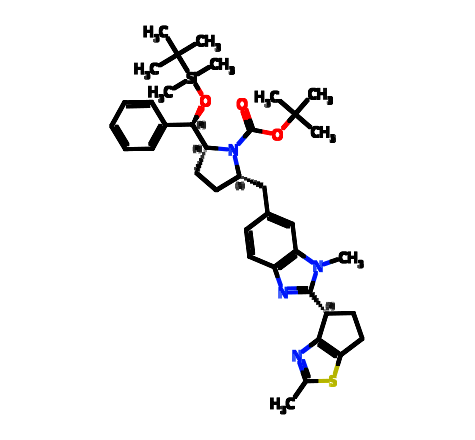 Cc1nc2c(s1)CC[C@H]2c1nc2ccc(C[C@@H]3CC[C@H]([C@H](O[Si](C)(C)C(C)(C)C)c4ccccc4)N3C(=O)OC(C)(C)C)cc2n1C